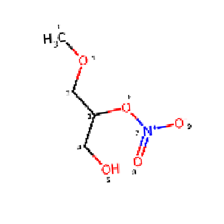 COCC(CO)O[N+](=O)[O-]